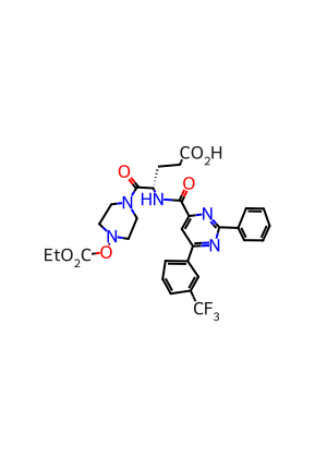 CCOC(=O)ON1CCN(C(=O)[C@H](CCC(=O)O)NC(=O)c2cc(-c3cccc(C(F)(F)F)c3)nc(-c3ccccc3)n2)CC1